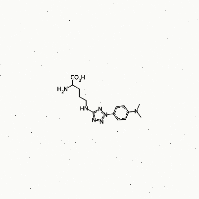 CN(C)c1ccc(-n2nnc(NCCCC(N)C(=O)O)n2)cc1